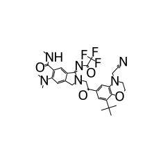 CNC(=O)c1cc2c(cc1N(C)C)CN(CC(=O)c1cc3c(c(C(C)(C)C)c1)OCCN3CC#N)C2=NC(=O)C(F)(F)F